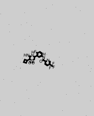 N=C1NC(c2cc(NC(=O)c3ccc(C(F)(F)F)cn3)ccc2F)CS(=O)(=O)C1C1CCC1